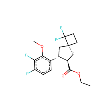 CCOC(=O)[C@@H]1C[C@]2(CCC2(F)F)C[C@H]1c1ccc(F)c(F)c1OC